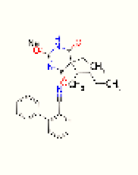 CCCC(C)C1(CC)C(=O)N=C([O-])NC1=O.N#Cc1ccccc1-c1ccccc1.[Na+]